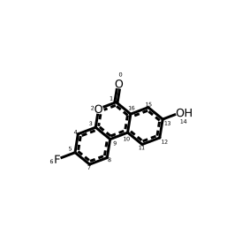 O=c1oc2cc(F)ccc2c2ccc(O)cc12